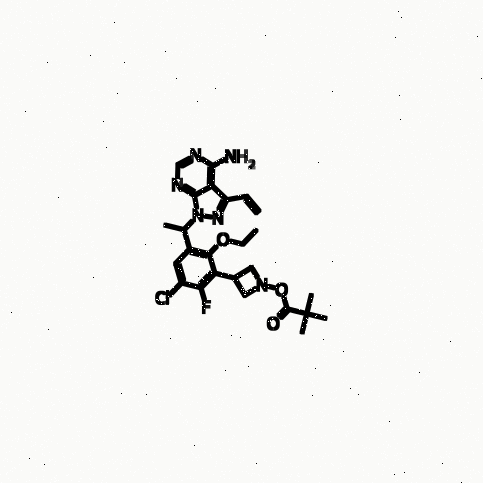 C=Cc1nn(C(C)c2cc(Cl)c(F)c(C3CN(OC(=O)C(C)(C)C)C3)c2OCC)c2ncnc(N)c12